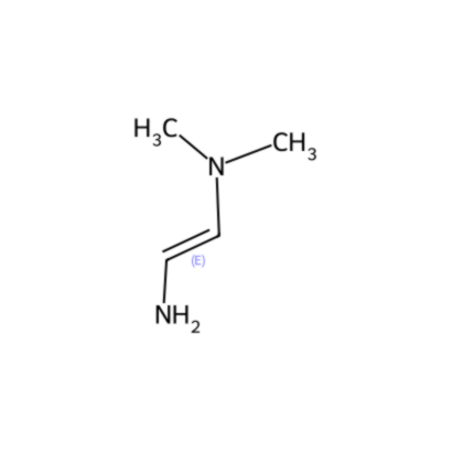 CN(C)/C=C/N